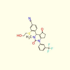 CN1C(=O)N(c2cccc(C(F)(F)F)c2)C2=C(C(=O)CC2)C1c1ccc(C#N)cc1SCCO